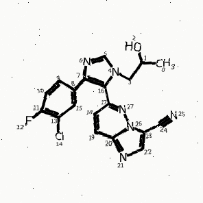 CC(O)Cn1cnc(-c2ccc(F)c(Cl)c2)c1-c1ccc2ncc(C#N)n2n1